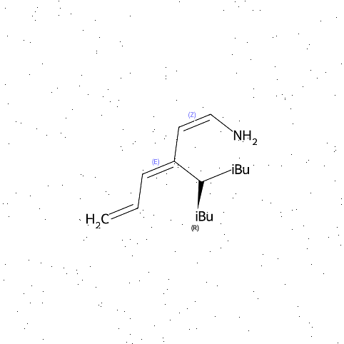 C=C/C=C(/C=C\N)C(C(C)CC)[C@H](C)CC